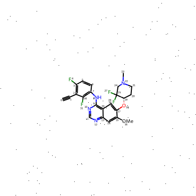 C#Cc1c(F)ccc(Nc2ncnc3cc(OC)c(O[C@H]4CCN(C)CC4(F)F)cc23)c1F